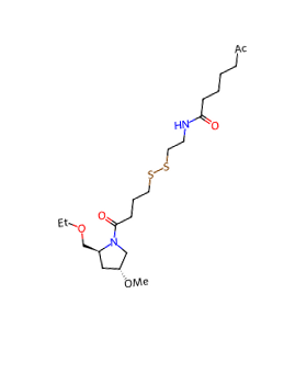 CCOC[C@@H]1C[C@@H](OC)CN1C(=O)CCCSSCCNC(=O)CCCCC(C)=O